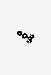 c1ccc([C@H]2CC[C@@H](C3c4sccc4-c4cncn43)CC2)cc1